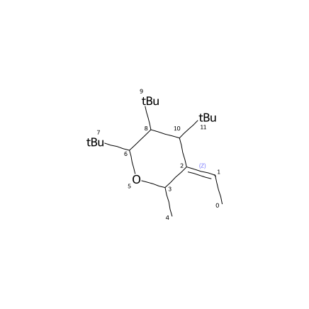 C/C=C1\C(C)OC(C(C)(C)C)C(C(C)(C)C)C1C(C)(C)C